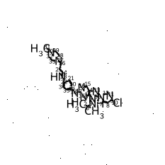 CC(C)Nn1c(N2C=CC(Cl)=NC2)nc2cnc(Nc3ccc(NCCCN4CCN(C)CC4)cc3)nc21